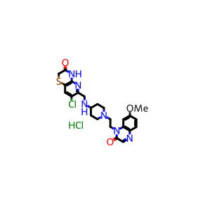 COc1ccc2ncc(=O)n(CCN3CCC(NCc4nc5c(cc4Cl)SCC(=O)N5)CC3)c2c1.Cl